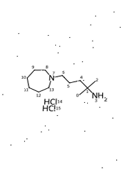 CC(C)(N)CCCN1CCCCCC1.Cl.Cl